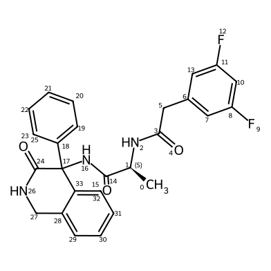 C[C@H](NC(=O)Cc1cc(F)cc(F)c1)C(=O)NC1(c2ccccc2)C(=O)NCc2ccccc21